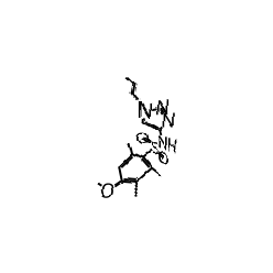 CCCn1cc(NS(=O)(=O)c2c(C)cc(OC)c(C)c2C)nn1